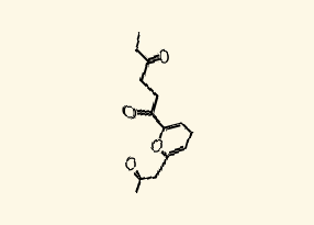 CCC(=O)CCC(=O)C1=CCC=C(CC(C)=O)O1